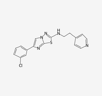 Clc1cccc(-c2cn3nc(NCCc4ccncc4)sc3n2)c1